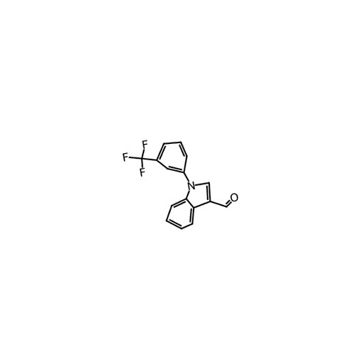 O=Cc1cn(-c2cccc(C(F)(F)F)c2)c2ccccc12